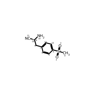 CS(=O)(=O)c1ccc(C[C@H](N)C#N)cc1